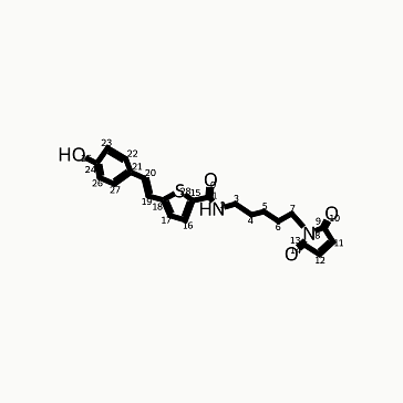 O=C(NCCCCCN1C(=O)C=CC1=O)c1ccc(/C=C/c2ccc(O)cc2)s1